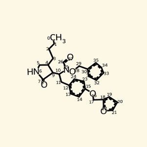 CCCCC1CNC(=O)C1C(Cc1ccc(OCc2ccco2)cc1)N(C=O)OCc1ccccc1